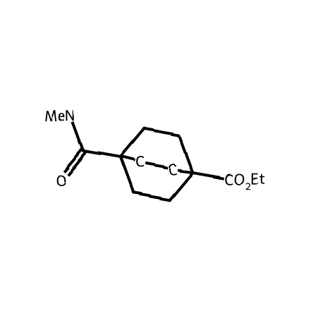 CCOC(=O)C12CCC(C(=O)NC)(CC1)CC2